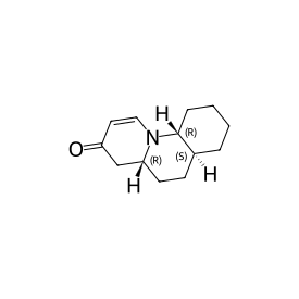 O=C1C=CN2[C@H](CC[C@@H]3CCCC[C@H]32)C1